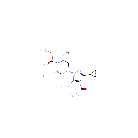 C[C@@H]1CC(n2nc(C3CC3)c(C(N)=O)c2N)C[C@@H](C)N1C(=O)OC(C)(C)C